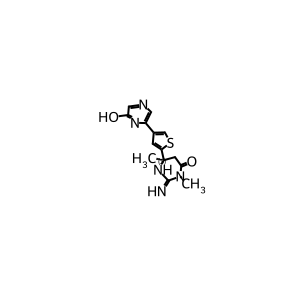 CN1C(=N)N[C@](C)(c2cc(-c3cncc(O)n3)cs2)CC1=O